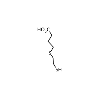 O=C(O)CCCSCCS